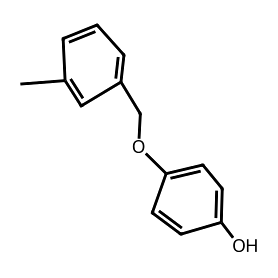 Cc1cccc(COc2ccc(O)cc2)c1